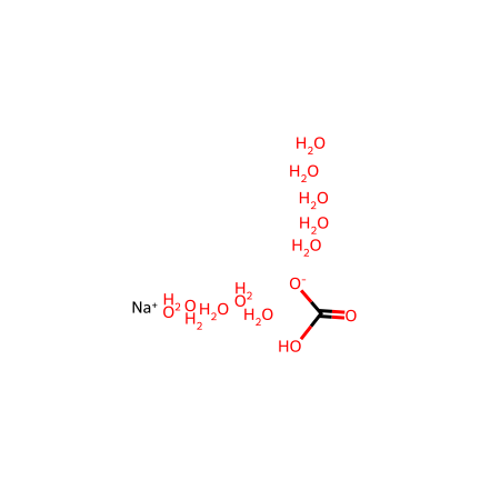 O.O.O.O.O.O.O.O.O.O.O=C([O-])O.[Na+]